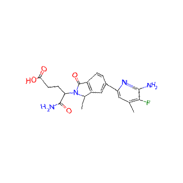 Cc1cc(-c2ccc3c(c2)C(C)N(C(CCC(=O)O)C(N)=O)C3=O)nc(N)c1F